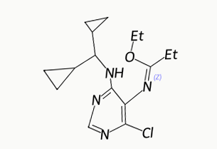 CCO/C(CC)=N\c1c(Cl)ncnc1NC(C1CC1)C1CC1